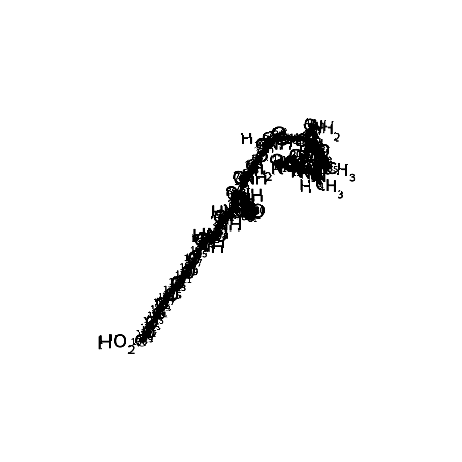 CCn1nc(C)cc1C(=O)Nc1nc2cc(C(N)=O)cc(OC)c2n1C/C=C/Cn1c(NC(=O)c2cc(C)nn2CC)nc2cc(C(N)=O)cc(OCCCOC(=O)[C@H](C)NC(=O)CCOCCOCCNC(=O)CC[C@H](NC(=O)CN3C(=O)C=CC3=O)C(=O)NCC(=O)NCC(=O)NCC(=O)NCC(=O)NCCOCCOCCOCCOCCOCCOCCOCCOCCC(=O)O)c21